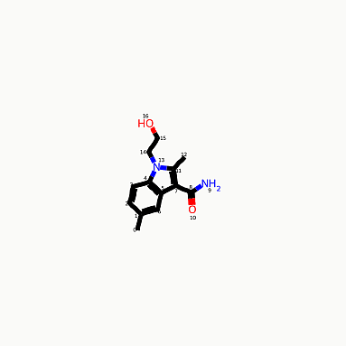 Cc1[c]cc2c(c1)c(C(N)=O)c(C)n2CCO